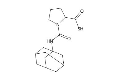 O=C(S)C1CCCN1C(=O)NC12CC3CC(CC(C3)C1)C2